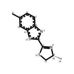 Cc1ccc2nc(C3=N[C@H](C)CS3)sc2c1